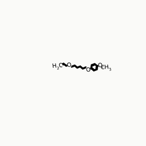 C=CCOCCCCCCOc1ccc(OC)cc1